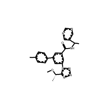 CO[C@@H](C)c1nnnn1-c1cc(C(=O)NC(C)c2cncnc2)cc(-c2ccc(C)cc2)c1